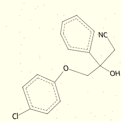 N#CCC(O)(COc1ccc(Cl)cc1)c1ccccc1